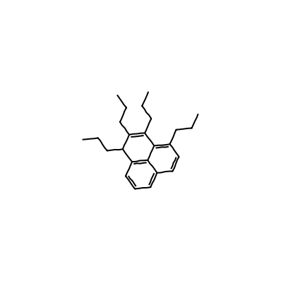 CCCC1=C(CCC)C(CCC)c2cccc3ccc(CCC)c1c23